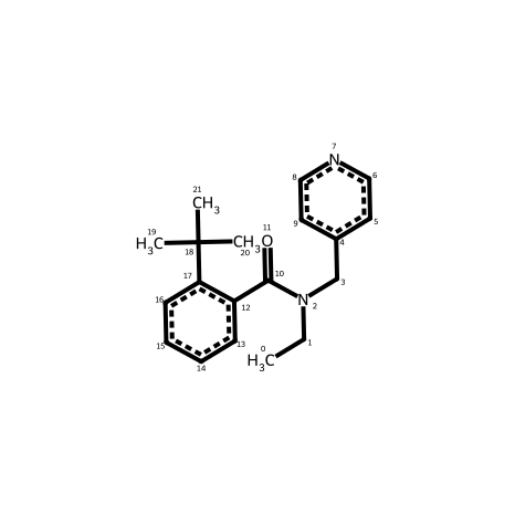 CCN(Cc1ccncc1)C(=O)c1ccccc1C(C)(C)C